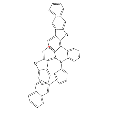 c1cc(-c2ccc3ccccc3c2)cc(N(c2ccccc2-c2cccc3c2oc2cc4ccccc4cc23)c2cccc3oc4ccccc4c23)c1